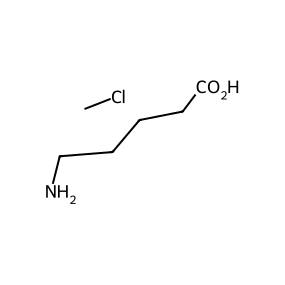 CCl.NCCCCC(=O)O